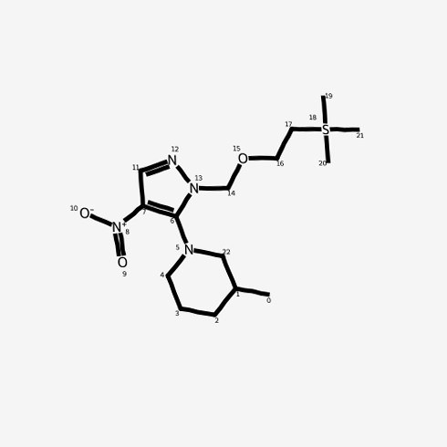 CC1CCCN(c2c([N+](=O)[O-])cnn2COCCS(C)(C)C)C1